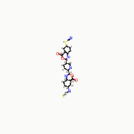 N#CSc1ccc2nc(-c3ccc(-c4nc5ccc(N=C=S)cc5c(=O)o4)nc3)oc(=O)c2c1